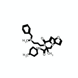 CC1CCC(NC(=O)C2(C)Cn3c(cc4occc43)C(=O)N2CCCN(C)Cc2ccccc2)CC1